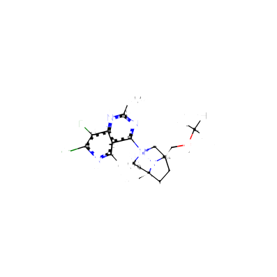 [2H]C([2H])([2H])OC[C@]12CC[C@H](CN(c3nc(SC)nc4c(F)c(Cl)nc(OC)c34)C1)N2C(=O)O